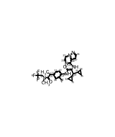 C[C@H](C(=O)N(C)CC(F)(F)F)c1ccc(NC(=O)[C@@H](Nc2nccn3nccc23)C(C2CC2)C2CC2)c(F)c1